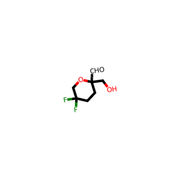 O=CC1(CO)CCC(F)(F)CO1